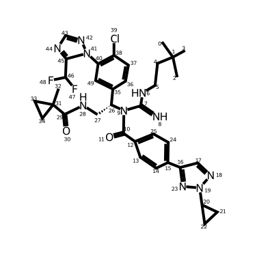 CC(C)(C)CCNC(=N)N(C(=O)c1ccc(-c2cnn(C3CC3)n2)cc1)[C@H](CNC(=O)C1(C)CC1)c1ccc(Cl)c(-n2ncnc2C(F)F)c1